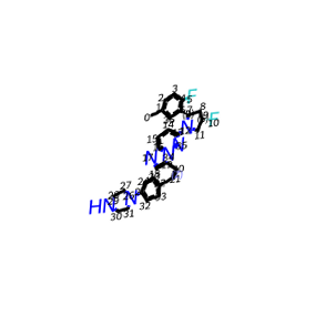 Cc1ccc(F)c([C@H]2C[C@H](F)CN2c2ccc3ncc(/C=C\c4ccc(N5CCNCC5)cc4)n3n2)c1